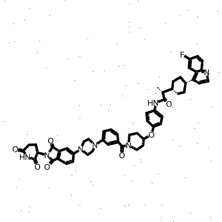 C[C@@H](C(=O)Nc1ccc(OC2CCN(C(=O)c3cccc(N4CCN(c5ccc6c(c5)C(=O)N(C5CCC(=O)NC5=O)C6=O)CC4)c3)CC2)cc1)[C@H]1CC[C@@H](c2ccnc3ccc(F)cc32)CC1